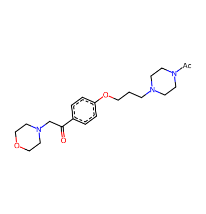 CC(=O)N1CCN(CCCOc2ccc(C(=O)CN3CCOCC3)cc2)CC1